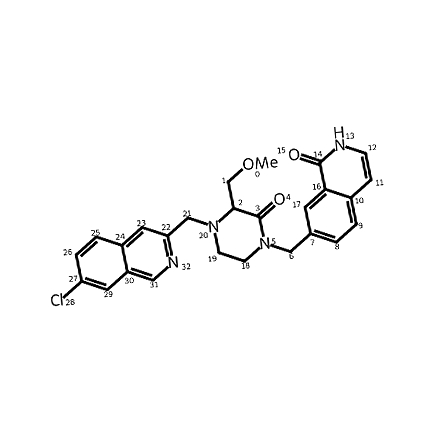 COCC1C(=O)N(Cc2ccc3cc[nH]c(=O)c3c2)CCN1Cc1cc2ccc(Cl)cc2cn1